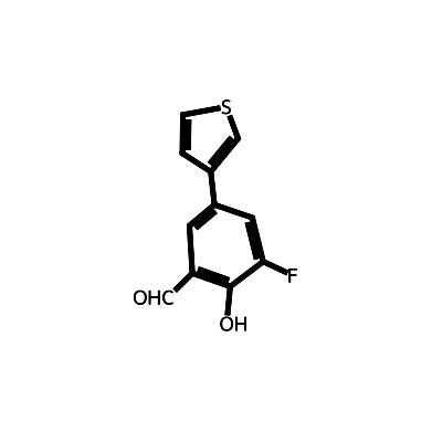 O=Cc1cc(-c2ccsc2)cc(F)c1O